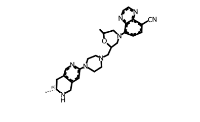 CC1CN(c2ccc(C#N)c3nccnc23)CC(CN2CCN(c3cc4c(cn3)C[C@@H](C)NC4)CC2)O1